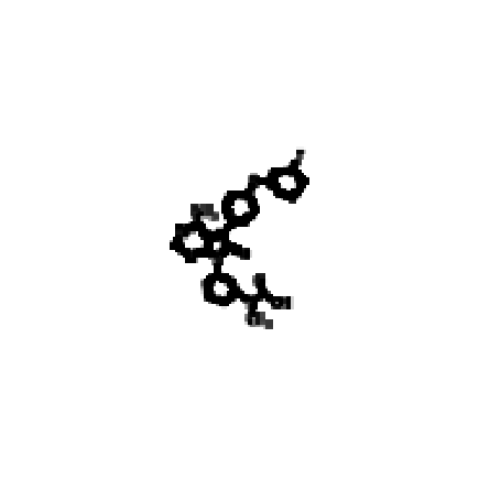 CN(C(=O)O)c1cccc(-n2c(=O)n(-c3ccc(Oc4cccc(F)c4)cc3)c3c(N)ncnc32)c1